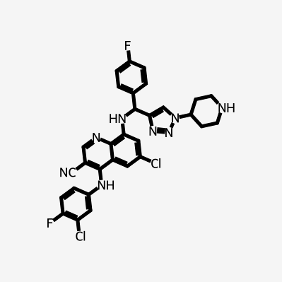 N#Cc1cnc2c(NC(c3ccc(F)cc3)c3cn(C4CCNCC4)nn3)cc(Cl)cc2c1Nc1ccc(F)c(Cl)c1